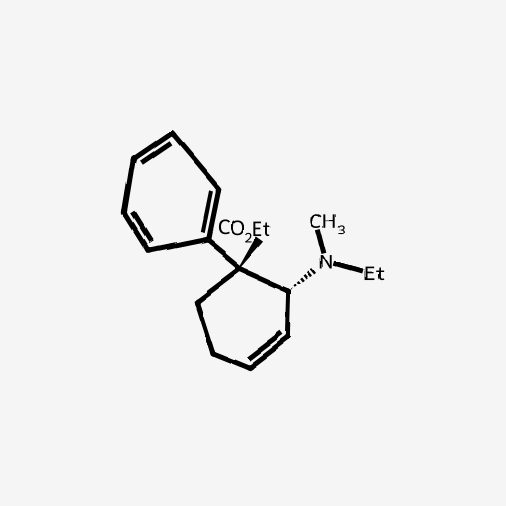 CCOC(=O)[C@]1(c2ccccc2)CCC=C[C@H]1N(C)CC